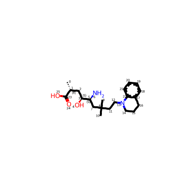 C[C@H](C[C@H](O)[C@@H](N)CC(C)(C)CCN1CCCc2ccccc21)C(=O)O